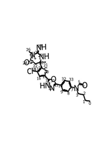 CCCCN(C=O)c1ccc(C2=NNC(c3cc(Cl)c([C@]4(C)C[S+]([O-])N(C)C(=N)N4)s3)O2)cc1